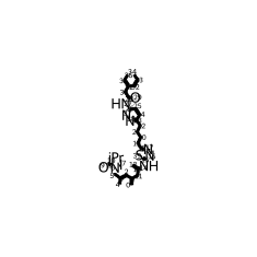 C=C(/C=C(\C)CN(I)C(=O)C(C)C)CC(=C)Nc1nnc(CCCCc2ccc(NC(=O)CC(/C=C\C)=C/C)nn2)s1